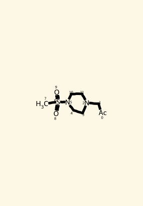 CC(=O)CN1CCN(S(C)(=O)=O)CC1